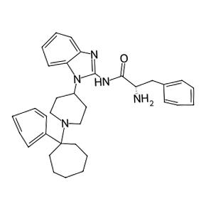 N[C@@H](Cc1ccccc1)C(=O)Nc1nc2ccccc2n1C1CCN(C2(c3ccccc3)CCCCCC2)CC1